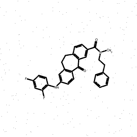 CN(CCc1ccccc1)C(=O)c1ccc2c(c1)C(=O)c1ccc(Nc3ccc(F)cc3F)cc1CC2